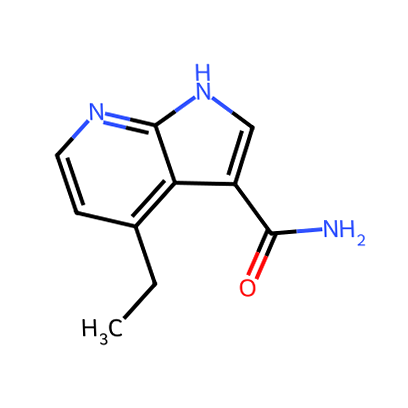 CCc1ccnc2[nH]cc(C(N)=O)c12